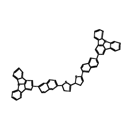 C1=C(c2ccc3cc(-c4cc5c6ccccc6n6c7ccccc7c(c4)c56)ccc3c2)SC(C2=CCC(c3ccc4cc(-c5cc6c7ccccc7n7c8ccccc8c(c5)c67)ccc4c3)S2)C1